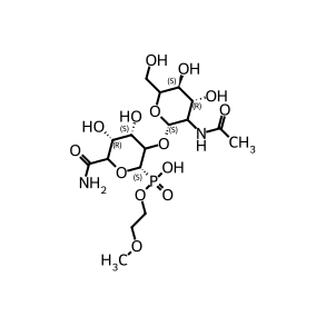 COCCOP(=O)(O)[C@@H]1OC(C(N)=O)[C@H](O)[C@H](O)C1O[C@@H]1OC(CO)[C@@H](O)[C@H](O)C1NC(C)=O